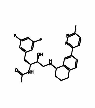 CC(=O)N[C@@H](Cc1cc(F)cc(F)c1)[C@@H](O)CNC1CCCc2ccc(-c3ccc(C)nn3)cc21